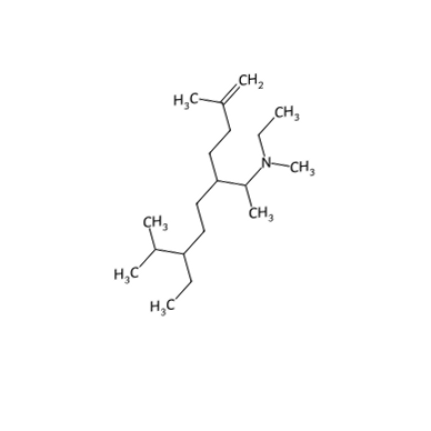 C=C(C)CCC(CCC(CC)C(C)C)C(C)N(C)CC